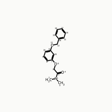 CN(C)C(=O)COc1cccc(OCc2ccccc2)c1